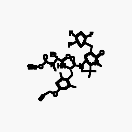 C#CCOc1cc(C)c(C[C@H](NC(=O)[C@H](CC)N(C)C(=O)OC(C)(C)C)C(=O)N2CC(C)(C)c3c2cc(Cc2cc(F)c(F)cc2F)c(=O)n3C)c(C)c1